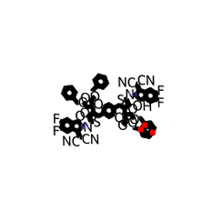 N#CC(C#N)=C1/C(=N/c2cc3c(s2)-c2cc4c(cc2OC3(C(=O)OCc2ccccc2)C(=O)OCc2ccccc2)-c2sc(/N=C3/C(=C(C#N)C#N)c5cc(F)c(F)cc5C3O)cc2C(C(=O)OCc2ccccc2)(C(=O)OCc2ccccc2)O4)C(=O)c2cc(F)c(F)cc21